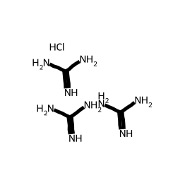 Cl.N=C(N)N.N=C(N)N.N=C(N)N